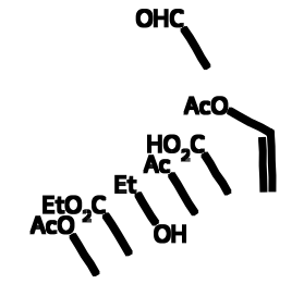 C=COC(C)=O.CC(=O)O.CC(C)=O.CC=O.CCO.CCOC(C)=O.COC(C)=O